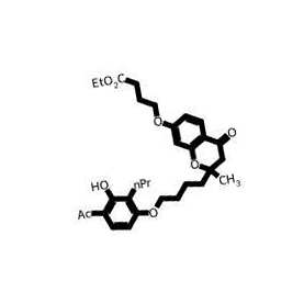 CCCc1c(OCCCCC2(C)CC(=O)c3ccc(OCCCC(=O)OCC)cc3O2)ccc(C(C)=O)c1O